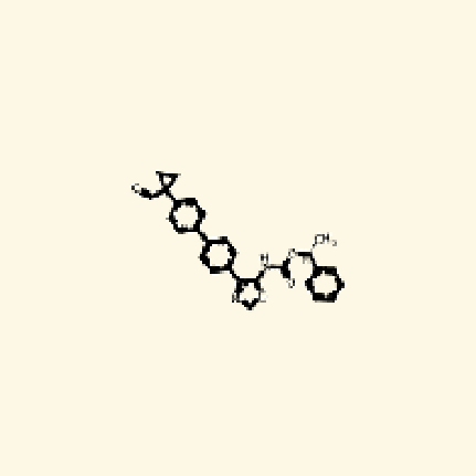 C[C@@H](OC(=O)Nc1ocnc1-c1ccc(-c2ccc(C3(C=O)CC3)cc2)cc1)c1ccccc1